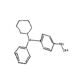 ONc1ccc(N(c2ccccc2)C2CCCCC2)cc1